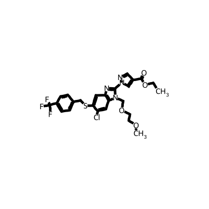 CCOC(=O)c1cnn(-c2nc3cc(SCc4ccc(C(F)(F)F)cc4)c(Cl)cc3n2COCCOC)c1